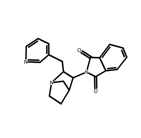 O=C1c2ccccc2C(=O)N1C1C2CCN(C2)C1Cc1cccnc1